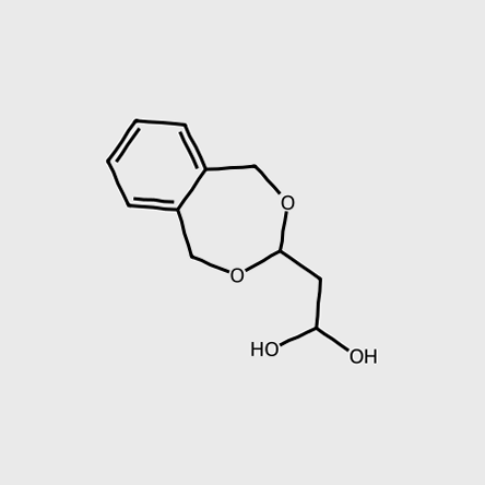 OC(O)CC1OCc2ccccc2CO1